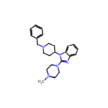 CN1CCN(c2nc3ccccc3n2C2CCN(Cc3ccccc3)CC2)CC1